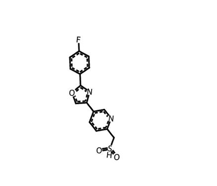 O=[SH](=O)Cc1ccc(-c2coc(-c3ccc(F)cc3)n2)cn1